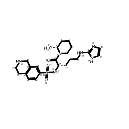 C[C@@H]1CCCCN1C(=O)[C@H](CCCNc1ncc[nH]1)NS(=O)(=O)c1ccc2c(c1)CNCC2